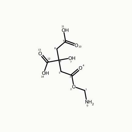 NCOC(=O)CC(O)(CC(=O)O)C(=O)O